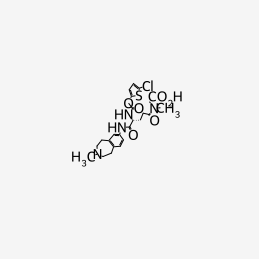 CN1CCc2ccc(NC(=O)[C@@H](CCC(=O)N(C)CC(=O)O)NC(=O)Oc3ccc(Cl)s3)cc2CC1